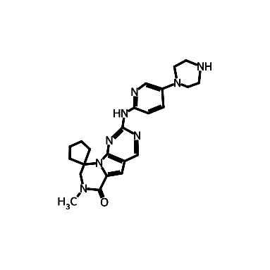 CN1CC2(CCCC2)n2c(cc3cnc(Nc4ccc(N5CCNCC5)cn4)nc32)C1=O